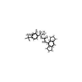 CNC(C)(C)c1ccc(S(N)(=O)=NC(=O)Nc2c3c(cc4c2CCC4)CCC3)c(F)c1